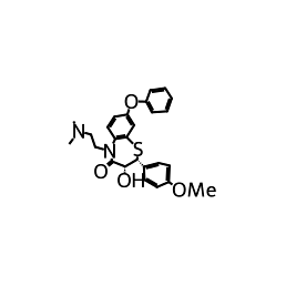 COc1ccc([C@H]2Sc3cc(Oc4ccccc4)ccc3N(CCN(C)C)C(=O)[C@H]2O)cc1